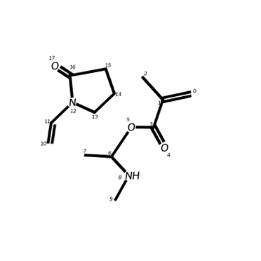 C=C(C)C(=O)OC(C)NC.C=CN1CCCC1=O